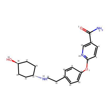 NC(=O)c1ccc(Oc2ccc(CCN[C@H]3CC[C@H](O)CC3)cc2)nc1